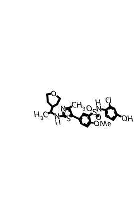 COc1ccc(-c2sc(NC(C)C3CCOCC3)nc2C)cc1S(=O)(=O)Nc1ccc(O)cc1Cl